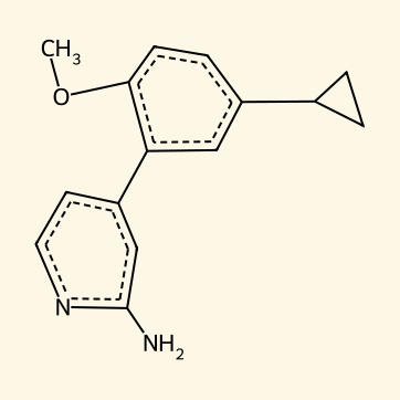 COc1ccc(C2CC2)cc1-c1ccnc(N)c1